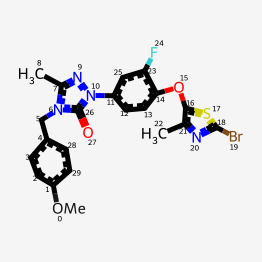 COc1ccc(Cn2c(C)nn(-c3ccc(Oc4sc(Br)nc4C)c(F)c3)c2=O)cc1